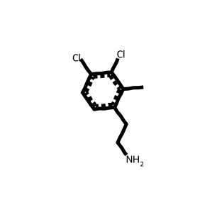 Cc1c(CCN)ccc(Cl)c1Cl